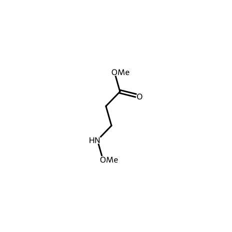 CONCCC(=O)OC